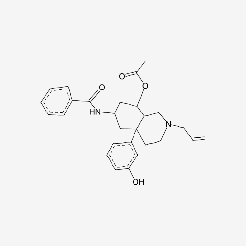 C=CCN1CCC2(c3cccc(O)c3)CC(NC(=O)c3ccccc3)CC(OC(C)=O)C2C1